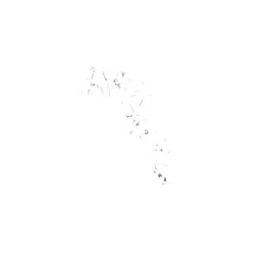 CCn1cc(CN2CCC3(CC2)CCN(C(=O)c2ccc4c(c2)C(NC(=O)c2cccc(Cl)c2Cl)CC4)CC3)c(C)n1